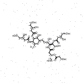 CCCCCCCCCCCC(=O)O[C@H](CCCCCCCCCCC)CC(=O)N/C(=C(\CO)OC(=O)C[C@H](O)CCCCCCCCCCC)[C@@H](O)OCC1OC(C)C(NC(=O)C[C@H](O)CCCCCCCCCCC)C(OC(=O)C[C@H](O)CCCCCCCCCCC)C1O